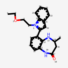 CCOCCn1c(-c2cccc3c2NC(C)CC(=O)N3)cc2ccccc21